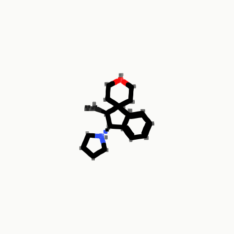 CN[C@@H]1[C@@H](N2CCCC2)c2ccccc2C12CCOCC2